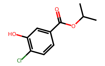 CC(C)OC(=O)c1ccc(Cl)c(O)c1